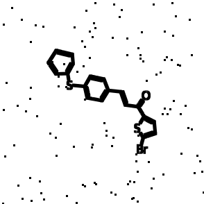 O=C(C=Cc1ccc(Sc2ccccc2)cc1)c1ccc(Br)s1